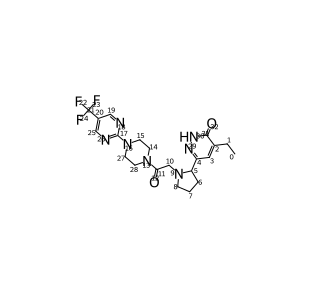 CCc1cc(C2CCCN2CC(=O)N2CCN(c3ncc(C(F)(F)F)cn3)CC2)n[nH]c1=O